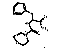 NC(=O)C(Cc1ccccc1)NC(=O)N1CCOCC1